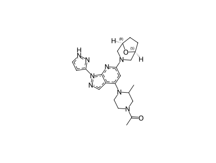 CC(=O)N1CCN(c2cc(N3C[C@H]4CC[C@@H](C3)O4)nc3c2cnn3-c2cc[nH]n2)C(C)C1